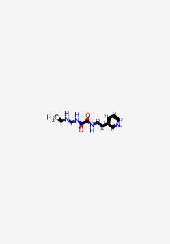 C=CNCNC(=O)C(=O)NCCc1cccnc1